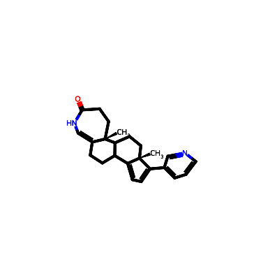 C[C@]12CCC3C(CCC4=CNC(=O)CC[C@@]43C)C1=CC=C2c1cccnc1